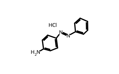 Cl.Nc1ccc(N=Nc2ccccc2)cc1